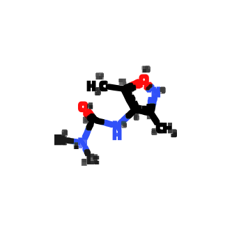 CCN(CC)C(=O)Nc1c(C)noc1C